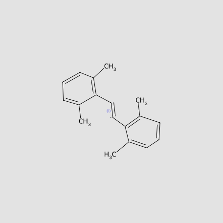 Cc1cccc(C)c1/[C]=[C]/c1c(C)cccc1C